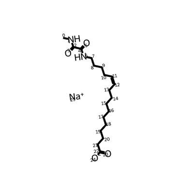 CNC(=O)C(=O)NCCCC/C=C\CCCCCCCCCC(=O)[O-].[Na+]